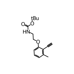 C#Cc1c(C)cccc1OCCNC(=O)OC(C)(C)C